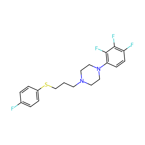 Fc1ccc(SCCCN2CCN(c3ccc(F)c(F)c3F)CC2)cc1